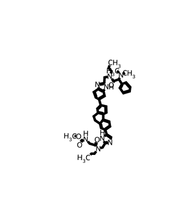 CCCN(Cc1ncc(-c2ccc3c(c2)CCc2cc(-c4ccc5nc(CN(CCC)C(=O)C(c6ccccc6)N(C)C)[nH]c5c4)ccc2-3)[nH]1)C(=O)CNC(=O)OC